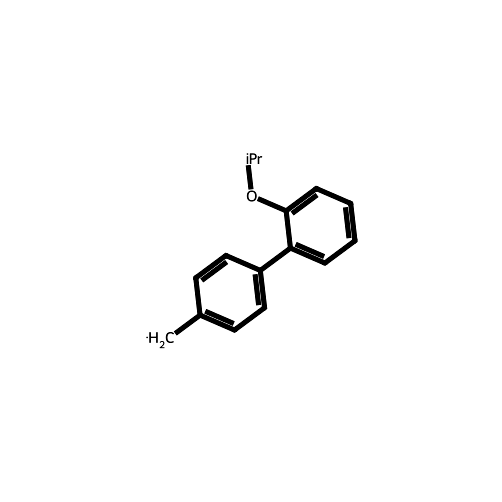 [CH2]c1ccc(-c2ccccc2OC(C)C)cc1